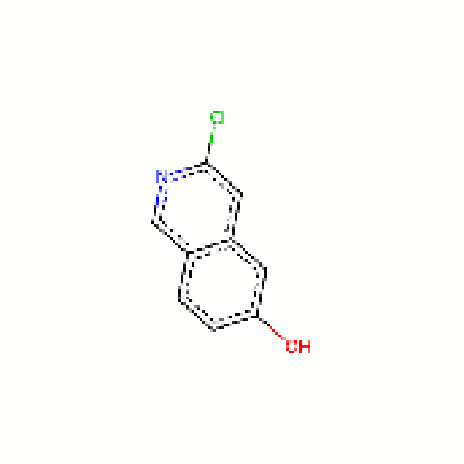 Oc1ccc2cnc(Cl)cc2c1